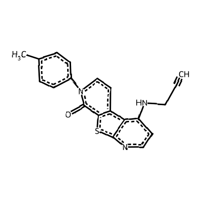 C#CCNc1ccnc2sc3c(=O)n(-c4ccc(C)cc4)ccc3c12